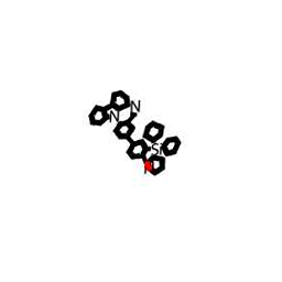 N#Cc1cc(-c2ccc(C#N)c([Si](c3ccccc3)(c3ccccc3)c3ccccc3)c2)ccc1-n1c2ccccc2c2ccccc21